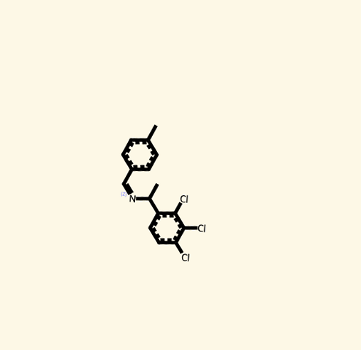 Cc1ccc(/C=N\C(C)c2ccc(Cl)c(Cl)c2Cl)cc1